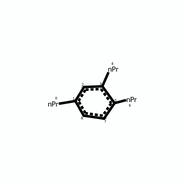 CCCc1[c]c(CCC)c(CCC)[c]c1